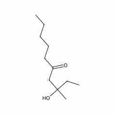 CCCCCC(=O)[CH]C(C)(O)CC